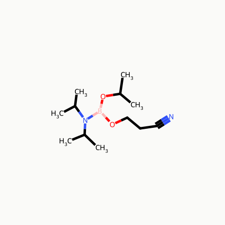 CC(C)OB(OCCC#N)N(C(C)C)C(C)C